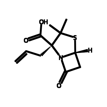 C=CC[C@@]1(C(=O)O)N2C(=O)C[C@H]2SC1(C)C